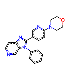 c1ccc(-n2c(-c3ccc(N4CCOCC4)nc3)nc3ccncc32)cc1